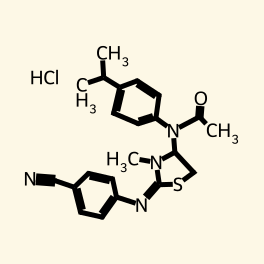 CC(=O)N(c1ccc(C(C)C)cc1)C1CSC(=Nc2ccc(C#N)cc2)N1C.Cl